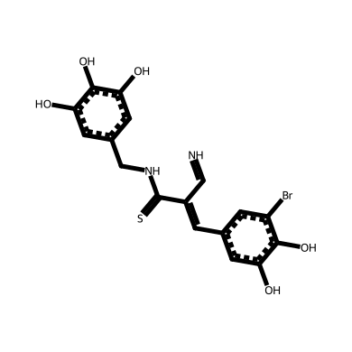 N=C/C(=C\c1cc(O)c(O)c(Br)c1)C(=S)NCc1cc(O)c(O)c(O)c1